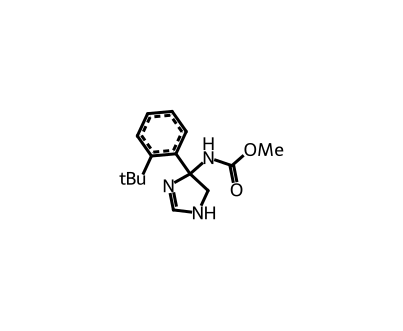 COC(=O)NC1(c2ccccc2C(C)(C)C)CNC=N1